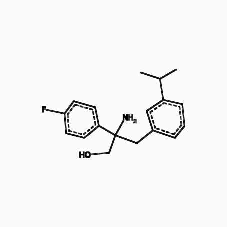 CC(C)c1cccc(CC(N)(CO)c2ccc(F)cc2)c1